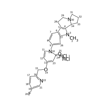 Cl.Cl.Cn1c2c(c3ccc(-n4ccc(OCc5ccc(F)cn5)cc4=O)cc31)CCN1CCCC21